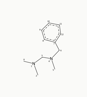 CN(C)CN(C)Cc1ccccc1